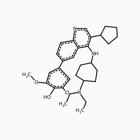 CCN(CC)C1CCC(Nc2c(C3CCCC3)cnc3ccc(-c4cc(Cl)c(O)c(OC)c4)cc23)CC1